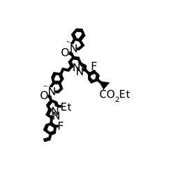 C=Cc1ccc(-c2cc3cc(C(=O)N4CCc5cc(CCc6cc(C(=O)N7CCc8ccccc8[C@H]7C)cc7cc(-c8ccc(C9C[C@@H]9C(=O)OCC)cc8F)nn67)ccc5[C@H]4C)cc(CC)n3n2)c(F)c1